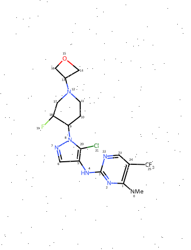 CNc1nc(Nc2cnn(C3CCN(C4COC4)CC3F)c2Cl)ncc1C(F)(F)F